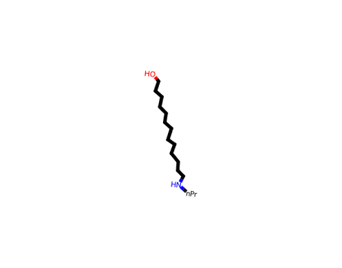 CCCNCCCCCCCCCCCCCO